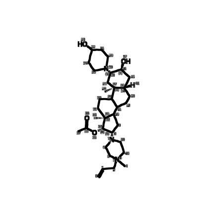 C=CC[N+]1(C)CCN([C@H]2CC3C4CC[C@H]5C[C@H](O)[C@@H](N6CCC(O)CC6)C[C@]5(C)C4CC[C@]3(C)[C@H]2OC(C)=O)CC1